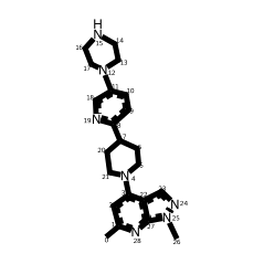 Cc1cc(N2CCC(c3ccc(N4CCNCC4)cn3)CC2)c2cnn(C)c2n1